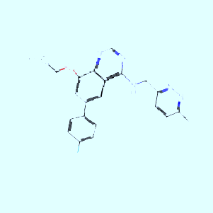 Cc1ccc(CNc2ncnc3c(OCC(=O)O)cc(-c4ccc(F)cc4)cc23)nn1